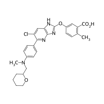 Cc1ccc(Oc2nc3nc(-c4ccc(N(C)CC5CCCCO5)cc4)c(Cl)cc3[nH]2)cc1C(=O)O